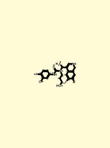 CC(C1=CNCc2cc(F)c(F)cc21)N(CCCO)C(=O)Nc1ccc(F)c(Cl)c1